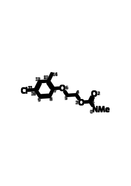 CNC(=O)OCCOc1ccc(Cl)cc1C